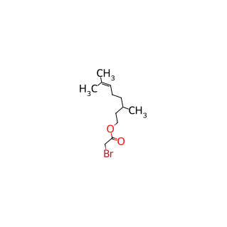 CC(C)=CCCC(C)CCOC(=O)CBr